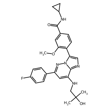 COc1cc(C(=O)NC2CC2)ccc1-c1cnc2c(NCC(C)(C)O)cc(-c3ccc(F)cc3)nn12